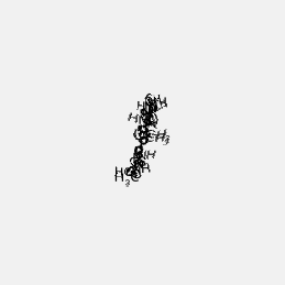 C#CC[C@H](NC(=O)OC)C(=O)N1CCC[C@H]1c1ncc(-c2ccc3c(c2)C(C)(C)c2ccc(-c4ccc5nc([C@@H]6CCCN6C(=O)[C@H](CC#C)NC(=O)OC)[nH]c5c4)cc2O3)[nH]1